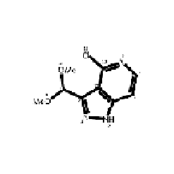 COC(OC)c1n[nH]c2ccnc(Cl)c12